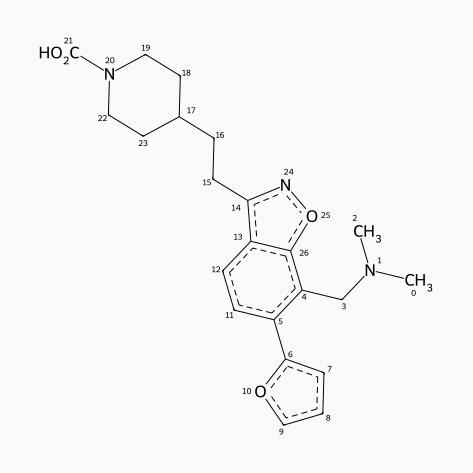 CN(C)Cc1c(-c2ccco2)ccc2c(CCC3CCN(C(=O)O)CC3)noc12